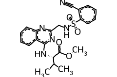 COC(=O)[C@@H](Nc1nc(CNS(=O)(=O)c2ccccc2C#N)nc2ccccc12)C(C)C